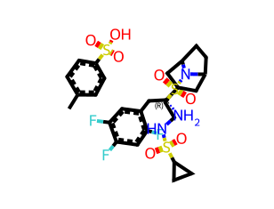 Cc1ccc(S(=O)(=O)O)cc1.N[C@H](Cc1cc(F)c(F)cc1F)C1CC2CCC(C1)N2S(=O)(=O)CCNS(=O)(=O)C1CC1